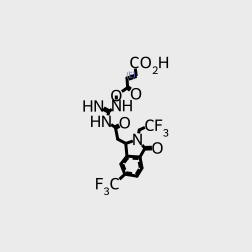 N=C(NOC(=O)/C=C/C(=O)O)NC(=O)CC1c2cc(C(F)(F)F)ccc2C(=O)N1CC(F)(F)F